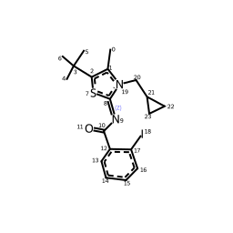 Cc1c(C(C)(C)C)s/c(=N\C(=O)c2ccccc2I)n1CC1CC1